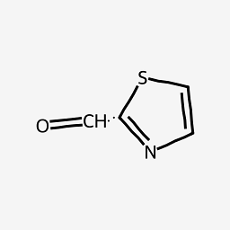 [CH]=O.[c]1nccs1